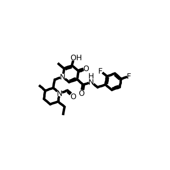 CCC1CCC(C)C(Cn2cc(C(=O)NCc3ccc(F)cc3F)c(=O)c(O)c2C)N1C=O